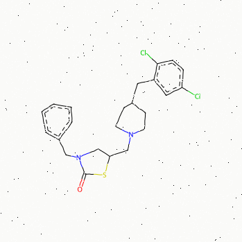 O=C1SC(CN2CCC(Cc3cc(Cl)ccc3Cl)CC2)CN1Cc1ccccc1